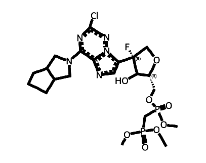 COP(=O)(CP(=O)(OC)OC[C@H]1OC[C@](F)(c2cnc3c(N4CC5CCCC5C4)nc(Cl)nn23)C1O)OC